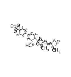 CCS(=O)(=O)c1ccc(-c2ccc(-c3nc(CCN4CCC[C@H]4C)c(C)o3)cc2)cc1.Cl